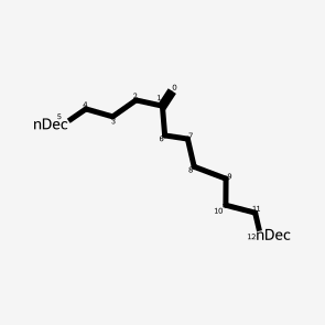 C=C(CCCCCCCCCCCCC)CCCCCCCCCCCCCCCC